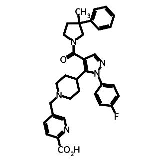 CC1(c2ccccc2)CCN(C(=O)c2cnn(-c3ccc(F)cc3)c2C2CCN(Cc3ccc(C(=O)O)nc3)CC2)C1